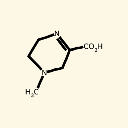 CN1CCN=C(C(=O)O)C1